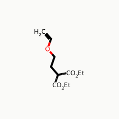 C=COCCC(C(=O)OCC)C(=O)OCC